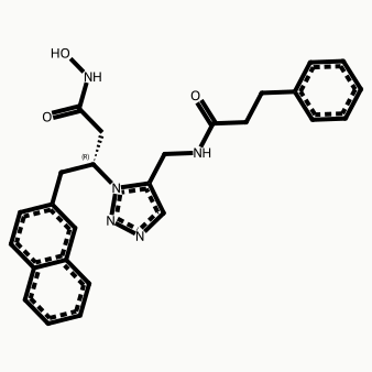 O=C(C[C@@H](Cc1ccc2ccccc2c1)n1nncc1CNC(=O)CCc1ccccc1)NO